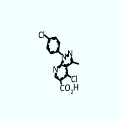 Cc1nn(-c2ccc(Cl)cc2)c2ncc(C(=O)O)c(Cl)c12